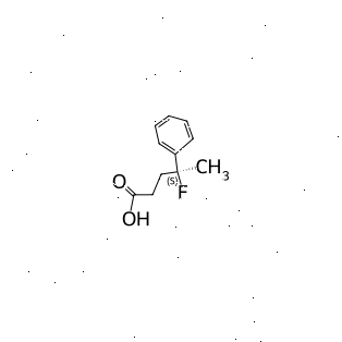 C[C@](F)(CCC(=O)O)c1ccccc1